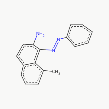 Cc1cccc2ccc(N)c(N=Nc3ccccc3)c12